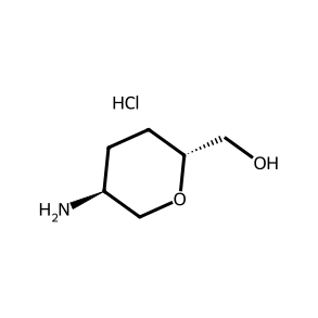 Cl.N[C@H]1CC[C@H](CO)OC1